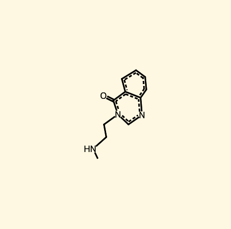 CNCCn1cnc2ccccc2c1=O